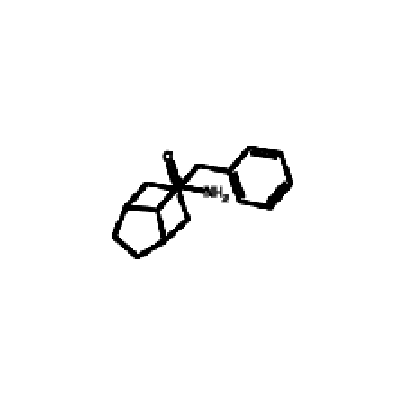 NC(=O)C1C2CCC1CN(Cc1ccccc1)C2